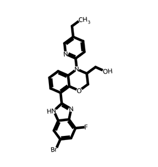 CCc1ccc(N2c3cccc(-c4nc5c(F)cc(Br)cc5[nH]4)c3OCC2CO)nc1